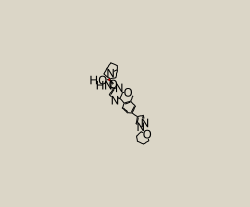 O=C(O)N1C2CCC1CC(Nc1cnc3c(n1)OCc1cc(-c4cnn(C5CCCCO5)c4)ccc1-3)C2